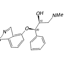 CNC[C@H](O)[C@H](Oc1cccc2sncc12)c1ccccc1